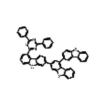 c1ccc(-c2nc(-c3ccccc3)nc(-c3cccc4oc5cc(-c6cc(-c7ccc8sc9ccccc9c8c7)c7c(c6)sc6ccccc67)ccc5c34)n2)cc1